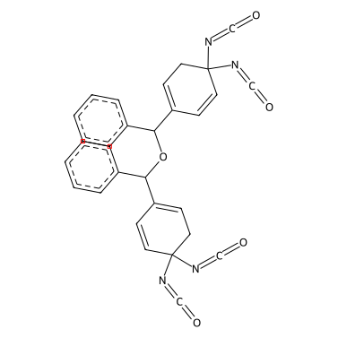 O=C=NC1(N=C=O)C=CC(C(OC(C2=CCC(N=C=O)(N=C=O)C=C2)c2ccccc2)c2ccccc2)=CC1